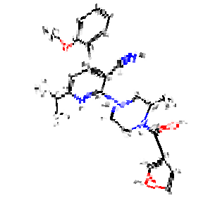 COc1ccccc1-c1cc(C(C)C)nc(N2CCN(C(=O)c3ccoc3)[C@H](C)C2)c1C#N